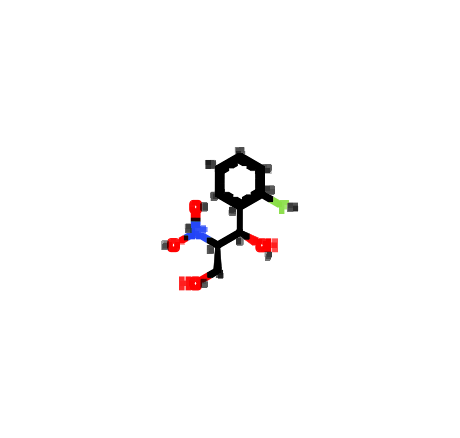 O=[N+]([O-])[C@H](CO)[C@H](O)c1ccccc1F